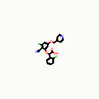 N#Cc1c(F)cc(OCc2ccncc2)cc1OC(C(=O)O)c1ccccc1Cl